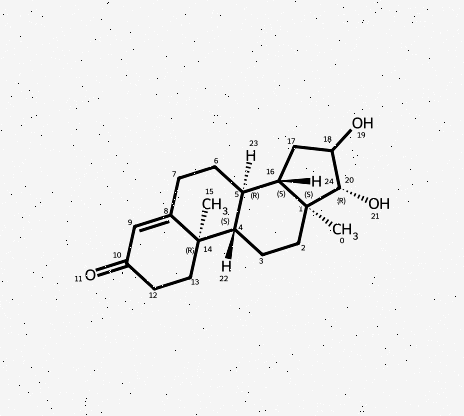 C[C@]12CC[C@H]3[C@@H](CCC4=CC(=O)CC[C@@]43C)[C@@H]1CC(O)[C@@H]2O